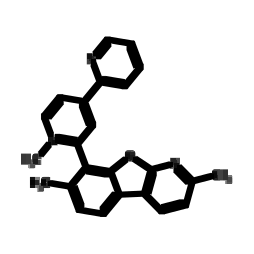 Cc1ccc2c(n1)oc1c(-c3cc(-c4ccccn4)cc[n+]3C)c(C)ccc12